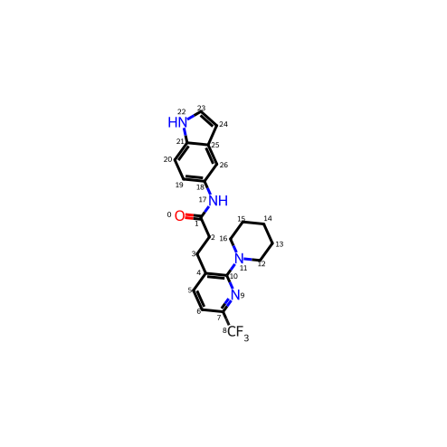 O=C(CCc1ccc(C(F)(F)F)nc1N1CCCCC1)Nc1ccc2[nH]ccc2c1